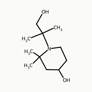 CC(C)(CO)N1CCC(O)CC1(C)C